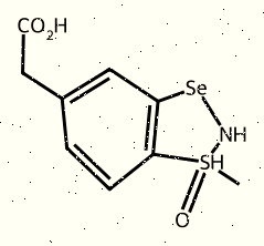 C[SH]1(=O)N[Se]c2cc(CC(=O)O)ccc21